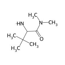 CN(C)C(=O)C([NH])C(C)(C)C